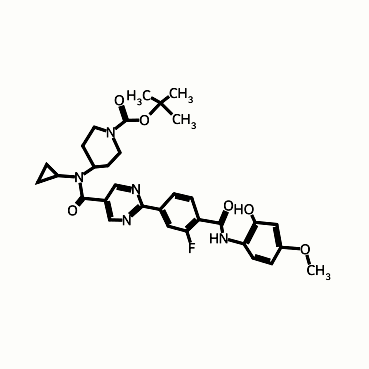 COc1ccc(NC(=O)c2ccc(-c3ncc(C(=O)N(C4CC4)C4CCN(C(=O)OC(C)(C)C)CC4)cn3)cc2F)c(O)c1